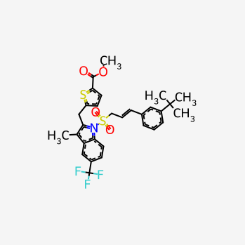 COC(=O)c1ccc(Cc2c(C)c3cc(C(F)(F)F)ccc3n2S(=O)(=O)CC=Cc2cccc(C(C)(C)C)c2)s1